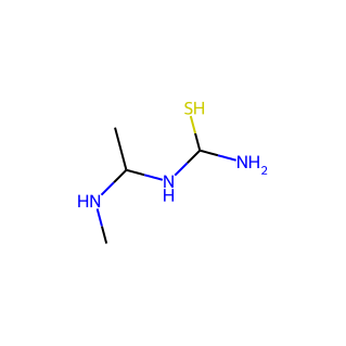 CNC(C)NC(N)S